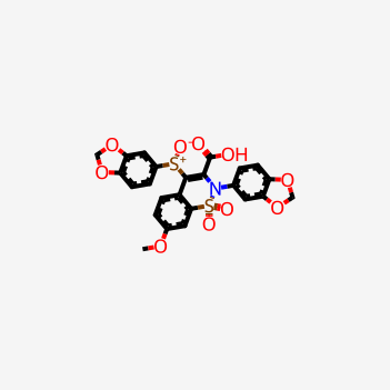 COc1ccc2c(c1)S(=O)(=O)N(c1ccc3c(c1)OCO3)C(C(=O)O)=C2[S+]([O-])c1ccc2c(c1)OCO2